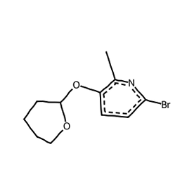 Cc1nc(Br)ccc1OC1CCCCO1